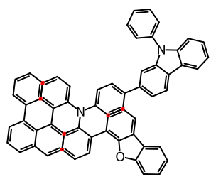 c1ccc(-c2cccc3cccc(-c4ccccc4N(c4ccc(-c5ccc6c7ccccc7n(-c7ccccc7)c6c5)cc4)c4ccccc4-c4cccc5c4oc4ccccc45)c23)cc1